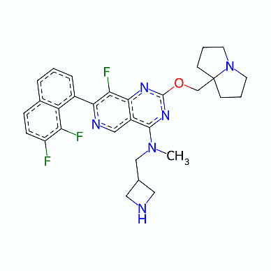 CN(CC1CNC1)c1nc(OCC23CCCN2CCC3)nc2c(F)c(-c3cccc4ccc(F)c(F)c34)ncc12